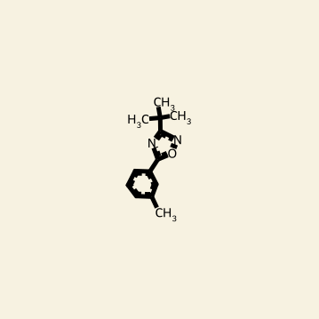 Cc1cccc(-c2nc(C(C)(C)C)no2)c1